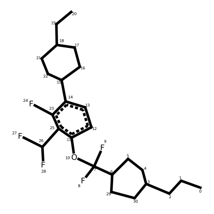 CCCC1CCC(C(F)(F)Oc2ccc(C3CCC(CC)CC3)c(F)c2C(F)F)CC1